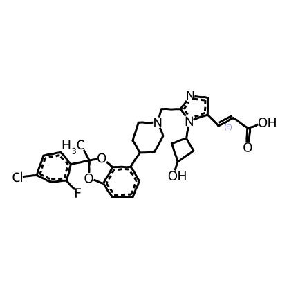 CC1(c2ccc(Cl)cc2F)Oc2cccc(C3CCN(Cc4ncc(/C=C/C(=O)O)n4C4CC(O)C4)CC3)c2O1